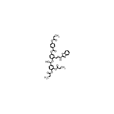 C=CC(=O)Oc1ccc(C(=O)Oc2ccc(OC(O)c3ccc(OC(=O)C=C)c(OC(=O)C=C)c3)c(/C=N/Nc3nc4ccccc4s3)c2)cc1